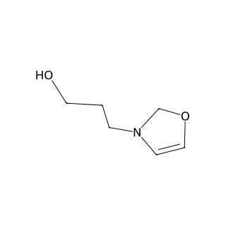 OCCCN1C=COC1